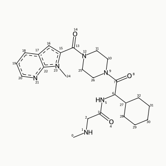 CNCC(=O)NC(C(=O)N1CCN(C(=O)c2cc3cccnc3n2C)CC1)C1CCCCC1